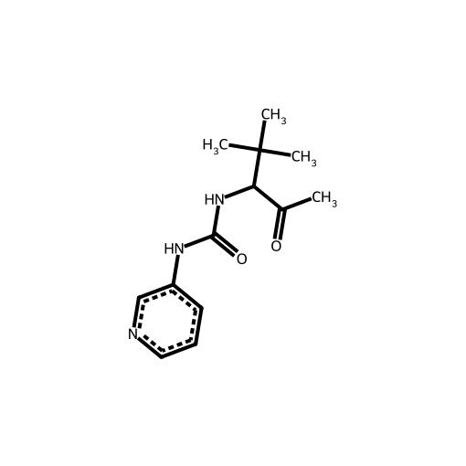 CC(=O)C(NC(=O)Nc1cccnc1)C(C)(C)C